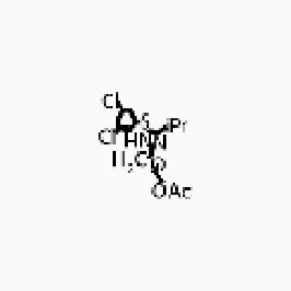 CC(=O)OCCOC(C)c1nc(C(C)C)c(Sc2cc(Cl)cc(Cl)c2)[nH]1